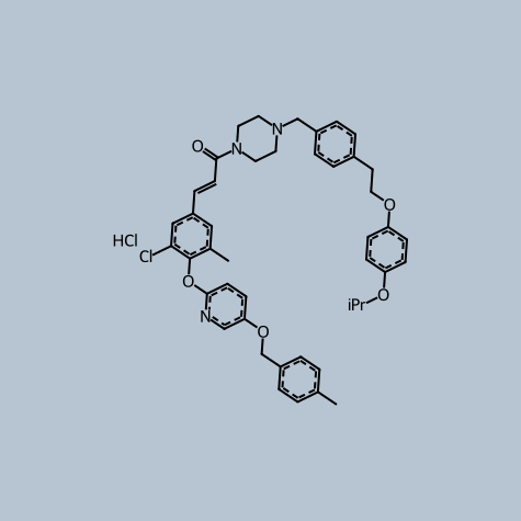 Cc1ccc(COc2ccc(Oc3c(C)cc(C=CC(=O)N4CCN(Cc5ccc(CCOc6ccc(OC(C)C)cc6)cc5)CC4)cc3Cl)nc2)cc1.Cl